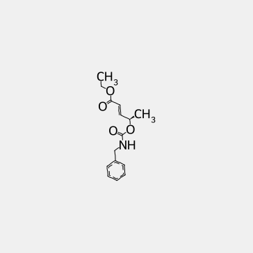 CCOC(=O)/C=C/[C@@H](C)OC(=O)NCc1ccccc1